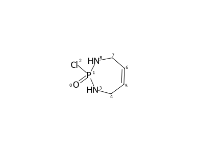 O=P1(Cl)NCC=CCN1